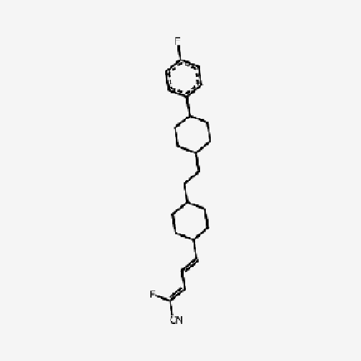 N#CC(F)=CC=CC1CCC(CCC2CCC(c3ccc(F)cc3)CC2)CC1